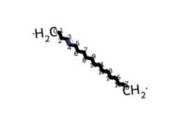 [CH2]CC/C=C/CCCCCCCCCCCCC[CH2]